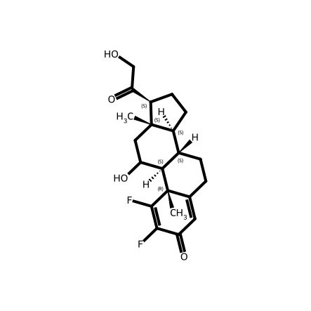 C[C@@]12C(=CC(=O)C(F)=C1F)CC[C@@H]1[C@@H]2C(O)C[C@]2(C)[C@@H](C(=O)CO)CC[C@@H]12